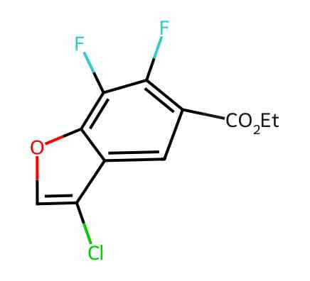 CCOC(=O)c1cc2c(Cl)coc2c(F)c1F